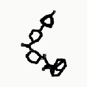 O=C(N1CCN(c2ccc(F)cc2)CC1)N1CCC[C@H](NC(=O)C23CC4CC(C2)C(O)C(C4)C3)C1